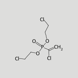 C=C(Cl)P(=O)(OCCCl)OCCCl